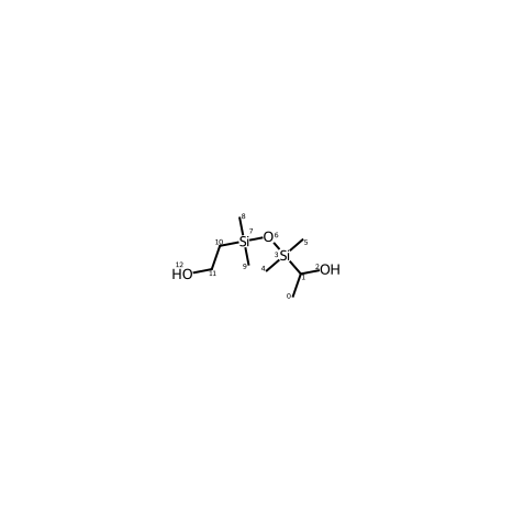 CC(O)[Si](C)(C)O[Si](C)(C)CCO